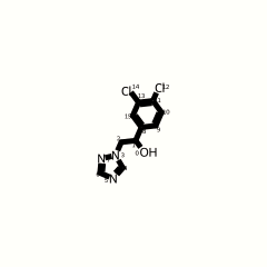 OC(Cn1cncn1)c1ccc(Cl)c(Cl)c1